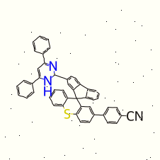 N#Cc1ccc(-c2ccc3c(c2)C2(c4ccccc4S3)c3ccccc3-c3ccc(C4N=C(c5ccccc5)C=C(c5ccccc5)N4)cc32)cc1